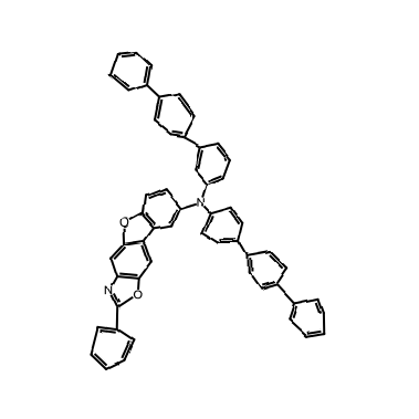 c1ccc(-c2ccc(-c3ccc(N(c4cccc(-c5ccc(-c6ccccc6)cc5)c4)c4ccc5oc6cc7nc(-c8ccccc8)oc7cc6c5c4)cc3)cc2)cc1